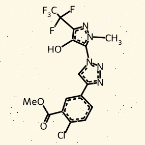 COC(=O)c1cc(-c2cn(-c3c(O)c(C(F)(F)C(F)(F)F)nn3C)nn2)ccc1Cl